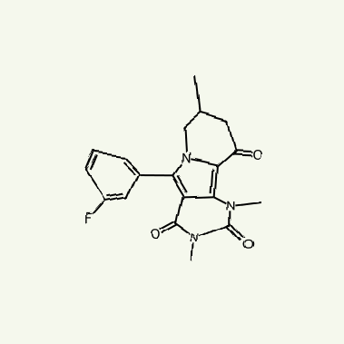 CC1CC(=O)c2c3c(c(-c4cccc(F)c4)n2C1)c(=O)n(C)c(=O)n3C